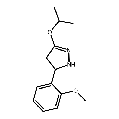 COc1ccccc1C1CC(OC(C)C)=NN1